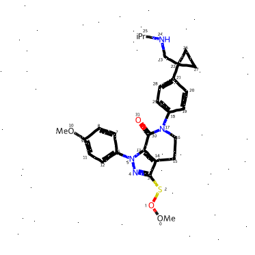 COOSc1nn(-c2ccc(OC)cc2)c2c1CCN(c1ccc(C3(CNC(C)C)CC3)cc1)C2=O